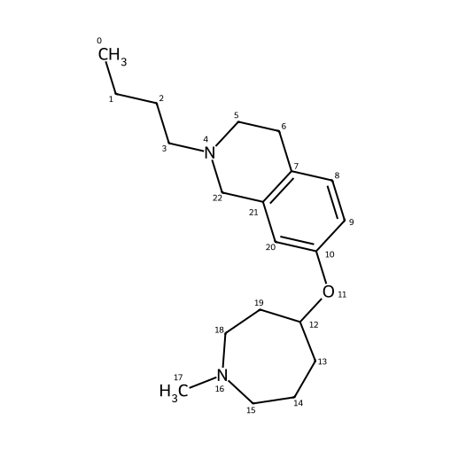 CCCCN1CCc2ccc(OC3CCCN(C)CC3)cc2C1